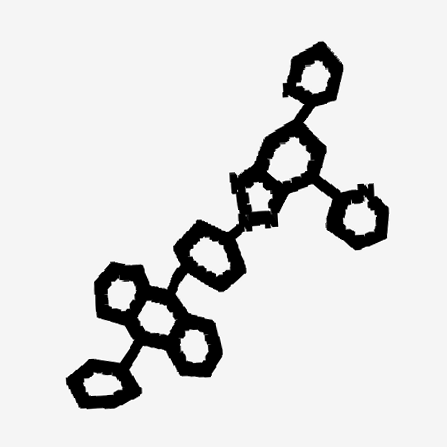 c1ccc(-c2c3ccccc3c(-c3ccc(-n4nc5cc(-c6ccccn6)cc(-c6ccccn6)c5n4)cc3)c3ccccc23)cc1